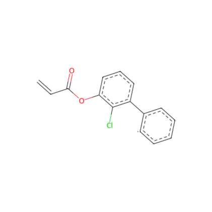 C=CC(=O)Oc1cccc(-c2[c]cccc2)c1Cl